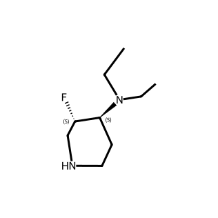 CCN(CC)[C@H]1CCNC[C@@H]1F